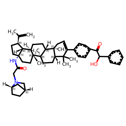 C=C(C)[C@@H]1CC[C@]2(NC(=O)CN3C[C@@H]4CC[C@H]3C4)CC[C@]3(C)[C@H](CC[C@@H]4[C@@]5(C)CC=C(c6ccc(C(=O)C(O)c7ccccc7)cc6)C(C)(C)[C@@H]5CC[C@]43C)[C@@H]12